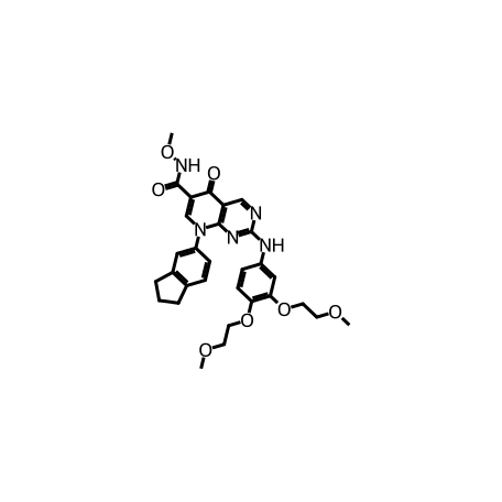 COCCOc1ccc(Nc2ncc3c(=O)c(C(=O)NOC)cn(-c4ccc5c(c4)CCC5)c3n2)cc1OCCOC